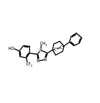 Cn1c(-c2ccc(O)cc2C(F)(F)F)nnc1C12CCC(c3ccccc3)(CC1)CC2